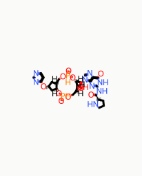 O=C(Nc1nc2c(ncn2[C@@H]2O[C@@H]3CO[PH](=O)O[C@H]4C[C@H](Oc5ccncn5)C[C@@H]4CO[PH](=O)O[C@@H]2[C@@H]3O)c(=O)[nH]1)[C@H]1CCCN1